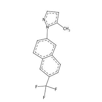 Cc1ccnn1-c1ccc2cc(C(F)(F)F)ccc2c1